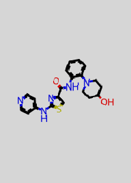 O=C(Nc1ccccc1N1CCC(O)CC1)c1csc(Nc2ccncc2)n1